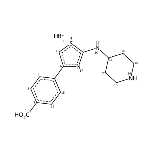 Br.O=C(O)c1ccc(-c2csc(NC3CCNCC3)n2)cc1